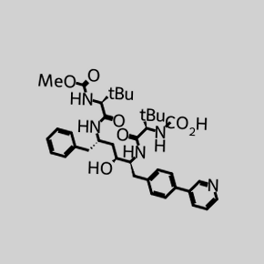 COC(=O)N[C@H](C(=O)N[C@@H](Cc1ccccc1)C[C@H](O)[C@H](Cc1ccc(-c2cccnc2)cc1)NC(=O)[C@H](NC(=O)O)C(C)(C)C)C(C)(C)C